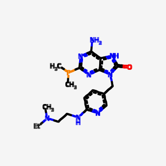 CCN(C)CCNc1ccc(Cn2c(=O)[nH]c3c(N)nc(P(C)C)nc32)cn1